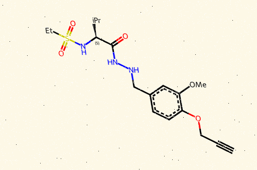 C#CCOc1ccc(CNNC(=O)[C@@H](NS(=O)(=O)CC)C(C)C)cc1OC